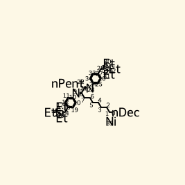 CCCCCCCCCCCCCCCCCC(=N\c1ccc(C[Si](CC)(CC)CC)cc1)/C(CCCCC)=N/c1ccc(C[Si](CC)(CC)CC)cc1.[Ni]